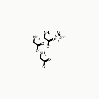 NCC(=O)[O-].NCC(=O)[O-].NCC(=O)[O-].[NH4+].[O]=[Zr+2]